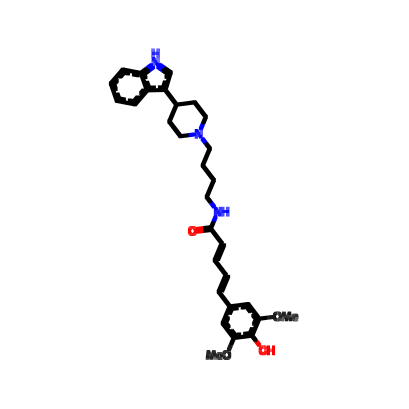 COc1cc(C=CC=CC(=O)NCCCCN2CCC(c3c[nH]c4ccccc34)CC2)cc(OC)c1O